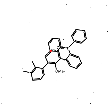 COc1ccc(-c2cccc(C)c2C)c(OC)c1-c1ccccc1P(c1ccccc1)c1ccccc1